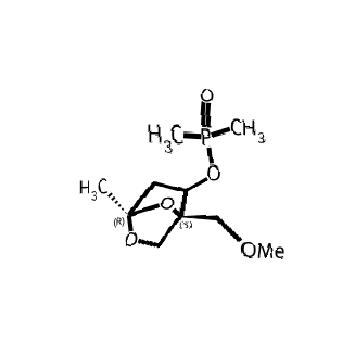 COC[C@]12CO[C@@](C)(CC1OP(C)(C)=O)O2